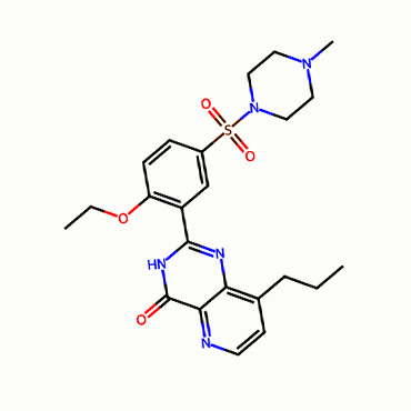 CCCc1ccnc2c(=O)[nH]c(-c3cc(S(=O)(=O)N4CCN(C)CC4)ccc3OCC)nc12